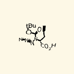 C#CC[C@@H](C(=O)O)N(N=[N+]=[N-])C(=O)OC(C)(C)C